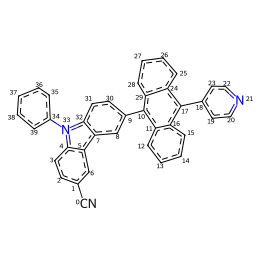 N#Cc1ccc2c(c1)c1cc(-c3c4ccccc4c(-c4ccncc4)c4ccccc34)ccc1n2-c1ccccc1